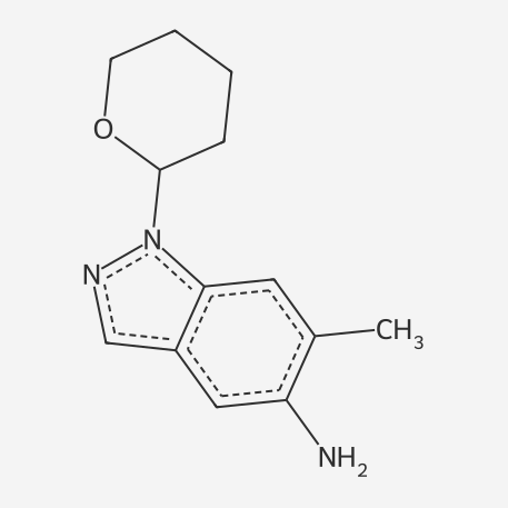 Cc1cc2c(cnn2C2CCCCO2)cc1N